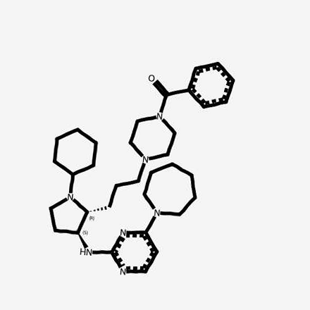 O=C(c1ccccc1)N1CCN(CCC[C@@H]2[C@@H](Nc3nccc(N4CCCCCC4)n3)CCN2C2CCCCC2)CC1